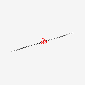 CCCCCCCCC=CCCCCCCCCCCCCOC(=O)OCCCCCCCCCCCCCCCCCCCC